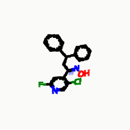 O/N=C(/CC(c1ccccc1)c1ccccc1)c1cc(F)ncc1Cl